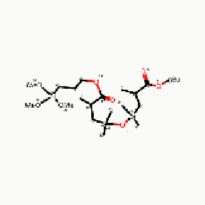 CCCCOC(=O)C(C)C[Si](C)(C)O[Si](C)(C)CC(C)C(=O)OCCC[Si](OC)(OC)OC